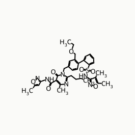 CCCCc1nc(C)c(C(=O)Nc2cc(C)on2)c(=O)n1Cc1ccc(-c2ccccc2S(=O)(=O)Nc2noc(C)c2C)c(COCC)c1